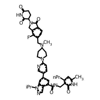 CCCc1cc(C)[nH]c(=O)c1CNC(=O)c1cc(-c2ccc(N3CCC(N(C)Cc4ccc5c(c4F)CN(C4CCC(=O)NC4=O)C5=O)CC3)nc2)cc2c1cnn2C(C)C